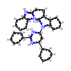 c1ccc(-c2cc(-n3c4ccccc4c4ccc5nc6ccccc6n5c43)nc(-c3ccccc3)n2)cc1